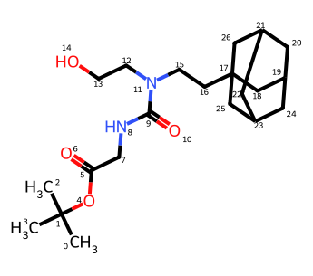 CC(C)(C)OC(=O)CNC(=O)N(CCO)CCC12CC3CC(CC(C3)C1)C2